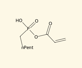 C=CC(=O)OP(=O)(O)CCCCCC